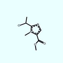 COC(=O)c1cnc(C(C)Cl)n1C